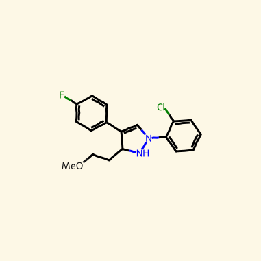 COCCC1NN(c2ccccc2Cl)C=C1c1ccc(F)cc1